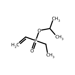 C=CP(=O)(CC)OC(C)C